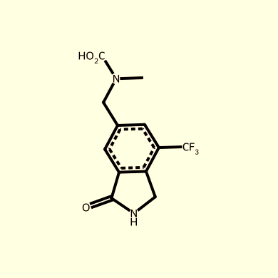 CN(Cc1cc2c(c(C(F)(F)F)c1)CNC2=O)C(=O)O